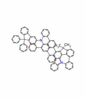 CC1(C)c2cccc3c2-c2c1c(-c1ccc(-c4ccccc4N(c4ccc5c(c4)-c4ccccc4C5(c4ccccc4)c4ccccc4)c4ccc(-c5ccccc5)cc4-c4ccccc4)cc1)cc1c4ccccc4n(c21)-c1ccccc1-3